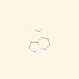 CC(C)[C@@H]1CCCN2CCC[C@@H]12